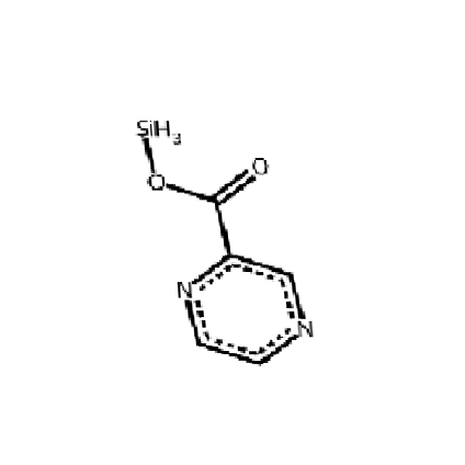 O=C(O[SiH3])c1cnccn1